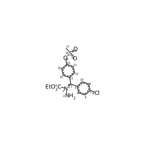 CCOC(=O)[N+](N)=C(c1ccc(Cl)cc1)c1ccc(OS(C)(=O)=O)cc1